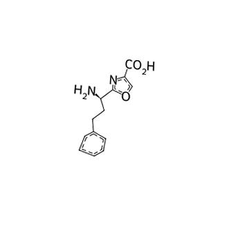 N[C@H](CCc1ccccc1)c1nc(C(=O)O)co1